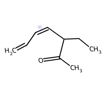 C=C/C=C\C(CC)C(C)=O